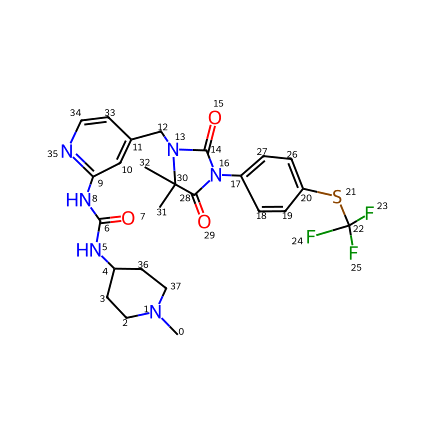 CN1CCC(NC(=O)Nc2cc(CN3C(=O)N(c4ccc(SC(F)(F)F)cc4)C(=O)C3(C)C)ccn2)CC1